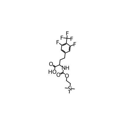 C[Si](C)(C)CCOC(=O)NC(CCc1cc(F)c(C(F)(F)F)c(F)c1)C(=O)O